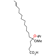 CC=CCCCCCCCCCCC(CCCC(=O)O)(OC)OC(C)C